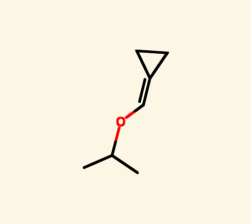 CC(C)OC=C1CC1